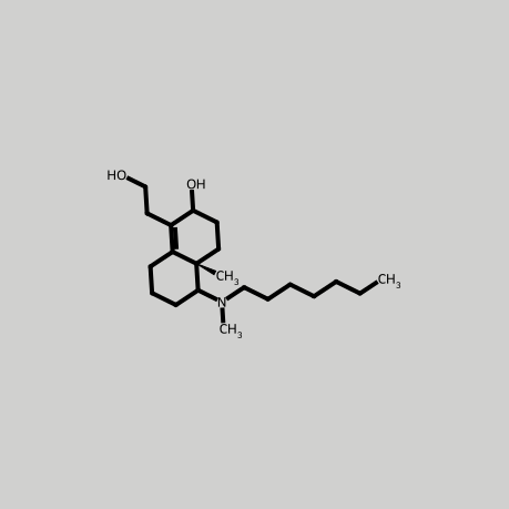 CCCCCCCN(C)C1CCCC2=C(CCO)C(O)CC[C@@]21C